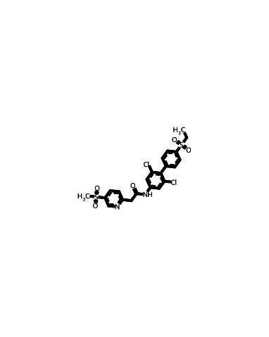 CCS(=O)(=O)c1ccc(-c2c(Cl)cc(NC(=O)Cc3ccc(S(C)(=O)=O)cn3)cc2Cl)cc1